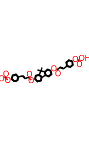 CC1(C)c2cc(OC(=O)C=Cc3ccc(OC(=O)O)cc3)ccc2-c2ccc(OC(=O)C=Cc3ccc(OC(=O)O)cc3)cc21